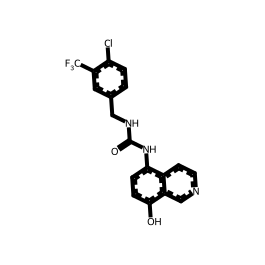 O=C(NCc1ccc(Cl)c(C(F)(F)F)c1)Nc1ccc(O)c2cnccc12